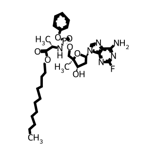 CCCCCCCCCCCCOC(=O)[C@H](C)NP(=O)(OC[C@@]1(C)O[C@@H](n2cnc3c(N)nc(F)nc32)C[C@@H]1O)Oc1ccccc1